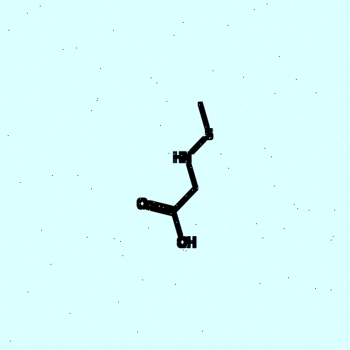 CSNCC(=O)O